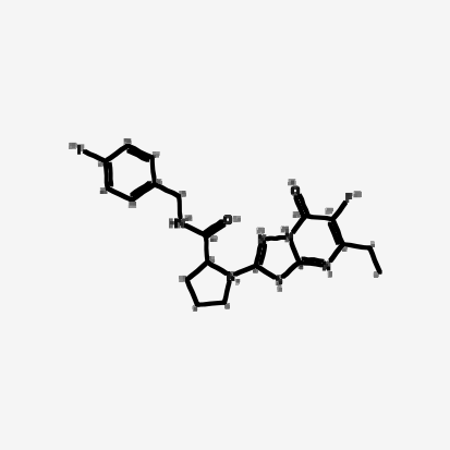 CCc1nc2sc(N3CCCC3C(=O)NCc3ccc(F)cc3)nn2c(=O)c1F